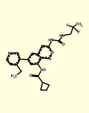 CCc1ccncc1-c1cc(NC(=O)C2CCC2)c2nnc(NC(=O)NCC(C)(F)F)cc2c1